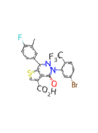 Cc1cc(-c2nn(-c3cc(Br)ccc3C(F)(F)F)c(=O)c3c(C(=O)O)csc23)ccc1F